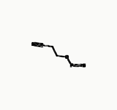 N#CCCOP=S